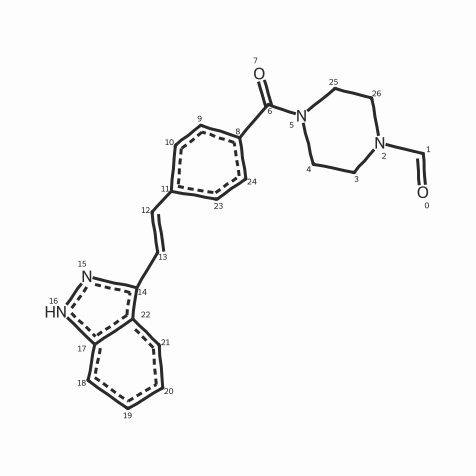 O=CN1CCN(C(=O)c2ccc(C=Cc3n[nH]c4ccccc34)cc2)CC1